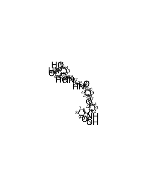 O=C(O)NC(c1ccccc1)c1cccc(OCc2ccc(C(=O)NCCCNCC(O)c3ccc(O)c4[nH]c(=O)ccc34)cc2)c1